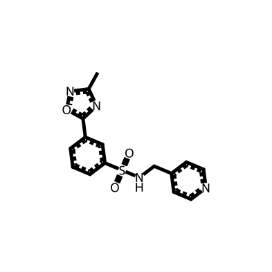 Cc1noc(-c2cccc(S(=O)(=O)NCc3ccncc3)c2)n1